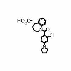 O=C(O)C[C@H]1CCCN(C(=O)c2ccc(N3CCCC3)cc2Cl)c2ccccc21